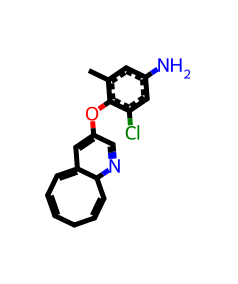 Cc1cc(N)cc(Cl)c1OC1=C/C2=C/C=C\CC=CC2N=C1